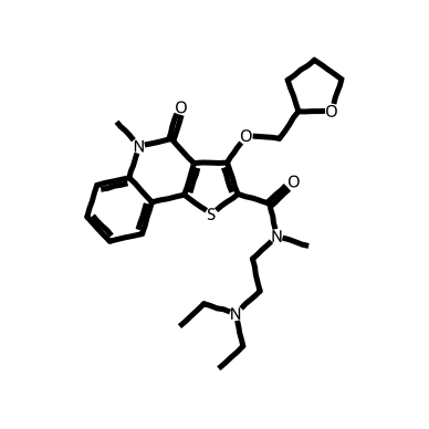 CCN(CC)CCN(C)C(=O)c1sc2c(c1OCC1CCCO1)c(=O)n(C)c1ccccc21